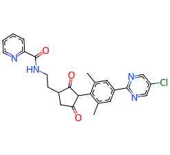 Cc1cc(-c2ncc(Cl)cn2)cc(C)c1C1C(=O)CC(CCNC(=O)c2ccccn2)C1=O